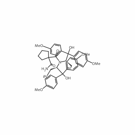 COc1ccc(C(O)(c2ccc(OC)cc2)[C@@H](CC(C)C)N(C(=O)C2(C(N)=O)CCCC2)[C@H](CC(C)C)C(O)(c2ccc(OC)cc2)c2ccc(OC)cc2)cc1